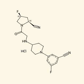 Cl.N#Cc1cc(F)cc(N2CCC(NCC(=O)N3C[C@@H](F)C[C@H]3C#N)CC2)c1